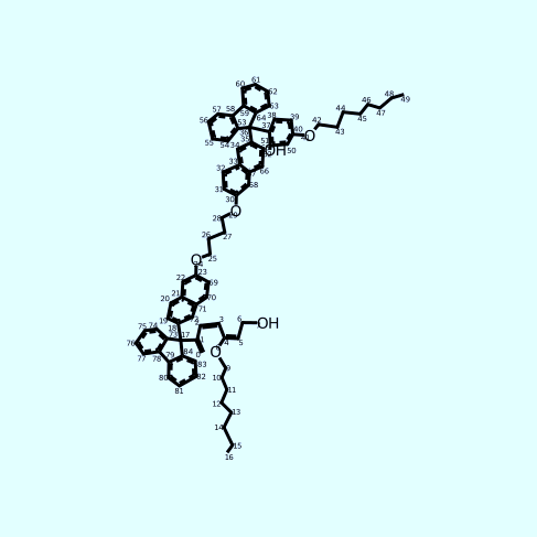 C=C(/C=C\C(=C/CO)OCCCCCCCC)C1(c2ccc3cc(OCCCCOc4ccc5cc(C6(c7ccc(OCCCCCCCC)cc7O)c7ccccc7-c7ccccc76)ccc5c4)ccc3c2)c2ccccc2-c2ccccc21